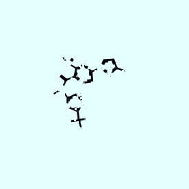 CCS(=O)(=O)c1cc(-n2ccc(C(F)(F)F)n2)cnc1C(=O)N(C)c1nnc(C(F)(F)C(F)(F)F)s1